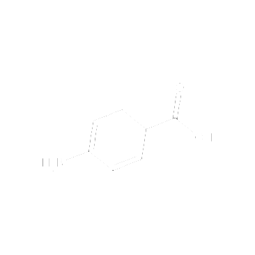 BC1=CCC(C(=O)O)C=C1